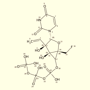 C=C[C@]1(O)[C@H](n2ccc(=O)[nH]c2=O)O[C@]2(CF)C(OP(=O)(O)OP(=O)(O)OP(=O)(O)O)[C@@]21O